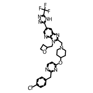 FC(F)(F)c1nnc(-c2cnc3c(c2)nc(CN2CCC(Oc4ccnc(Cc5ccc(Cl)cc5)n4)CC2)n3CC2CCO2)[nH]1